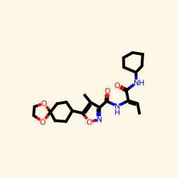 C/C=C(\NC(=O)c1noc(C2CCC3(CC2)OCCO3)c1C)C(=O)NC1CCCCC1